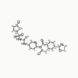 O=C(Nc1ccc(N2C(=O)Cc3cc(C4=NCCO4)ccc3C2=O)nc1)NS(=O)(=O)c1ccc(Cl)s1